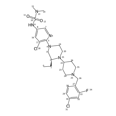 CC[C@H]1CN(c2ncc(NS(=O)(=O)N(C)C)cc2Cl)CCN1C1CCN(Cc2ccc(Cl)cc2F)CC1